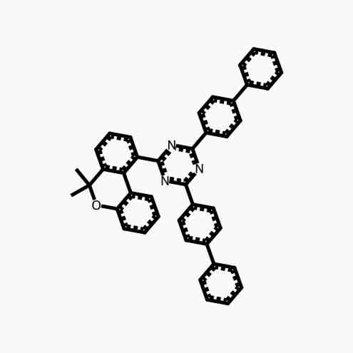 CC1(C)Oc2ccccc2-c2c(-c3nc(-c4ccc(-c5ccccc5)cc4)nc(-c4ccc(-c5ccccc5)cc4)n3)cccc21